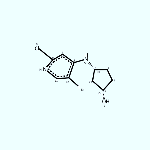 O[C@H]1CC[C@@H](Nc2cc(Cl)ncc2I)C1